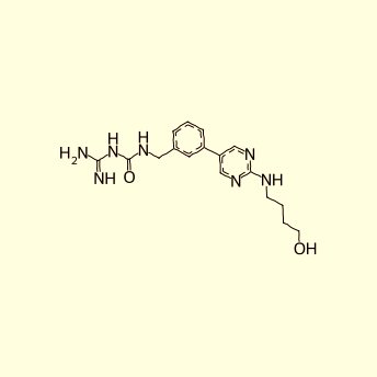 N=C(N)NC(=O)NCc1cccc(-c2cnc(NCCCCO)nc2)c1